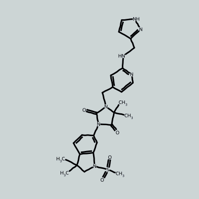 CC1(C)CN(S(C)(=O)=O)c2cc(N3C(=O)N(Cc4ccnc(NCc5cc[nH]n5)c4)C(C)(C)C3=O)ccc21